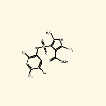 COC(=O)c1c(C)[nH]c(C)c1S(=O)(=O)Nc1cc(Cl)c(C(F)(F)F)cc1Br